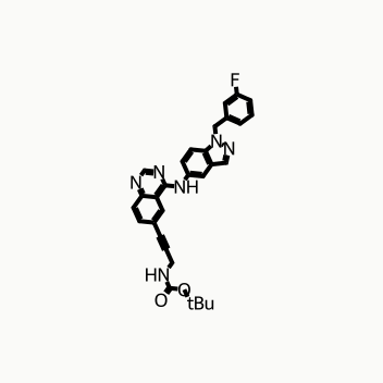 CC(C)(C)OC(=O)NCC#Cc1ccc2ncnc(Nc3ccc4c(cnn4Cc4cccc(F)c4)c3)c2c1